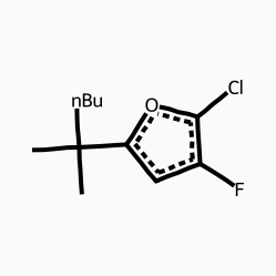 CCCCC(C)(C)c1cc(F)c(Cl)o1